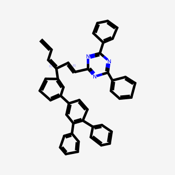 C=C/C=C(\C=C\c1nc(-c2ccccc2)nc(-c2ccccc2)n1)c1cccc(-c2ccc(-c3ccccc3)c(-c3ccccc3)c2)c1